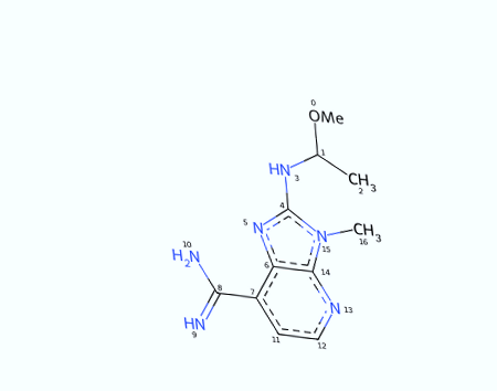 COC(C)Nc1nc2c(C(=N)N)ccnc2n1C